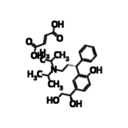 CC(C)N(CC[C@H](c1ccccc1)c1cc([C@@H](O)CO)ccc1O)C(C)C.O=C(O)C=CC(=O)O